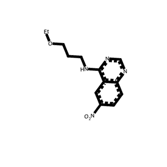 CCOCCCNc1ncnc2ccc([N+](=O)[O-])cc12